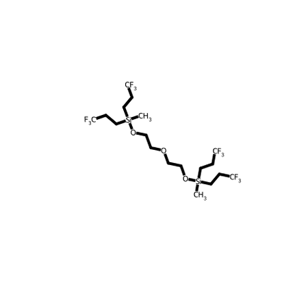 C[Si](CCC(F)(F)F)(CCC(F)(F)F)OCCOCCO[Si](C)(CCC(F)(F)F)CCC(F)(F)F